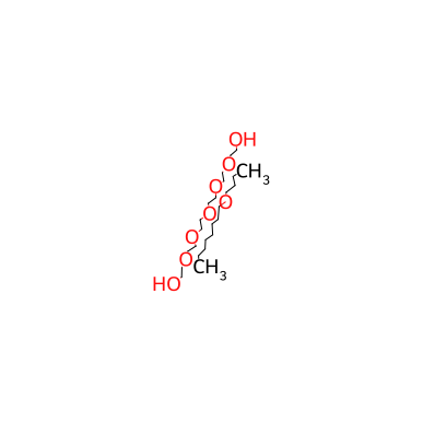 CCCCCCCCOCCCC.OCCOCCOCCOCCOCCOCCO